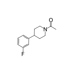 CC(=O)N1CCC(c2cccc(F)c2)CC1